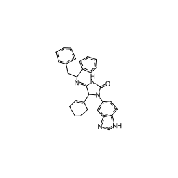 O=C1NC(=NC(Cc2ccccc2)c2ccccc2)C(C2=CCCCC2)N1c1ccc2[nH]cnc2c1